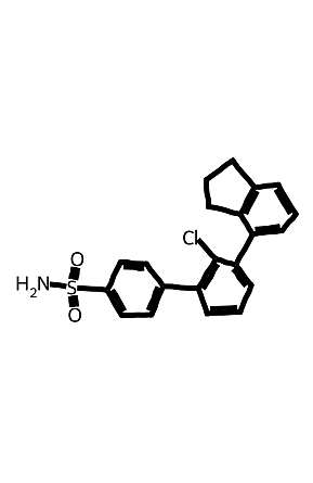 NS(=O)(=O)c1ccc(-c2cccc(-c3cccc4c3CCC4)c2Cl)cc1